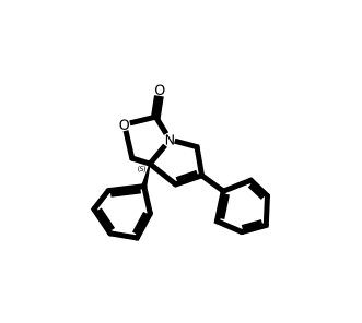 O=C1OC[C@@]2(c3ccccc3)C=C(c3ccccc3)CN12